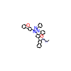 C/C=C\C=C/c1cc2ccccc2cc1-c1ccc(-c2nc(-c3ccccc3)nc(-c3ccc4c(c3)oc3ccccc34)n2)c2c1oc1ccccc12